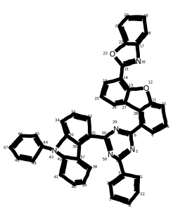 c1ccc(-c2nc(-c3cccc4oc5c(-c6nc7ccccc7o6)cccc5c34)nc(-c3cccc4c3c3ccccc3n4-c3ccccc3)n2)cc1